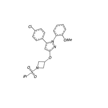 COc1ccccc1-n1nc(OC2CN(S(=O)(=O)C(C)C)C2)cc1-c1ccc(Cl)cc1